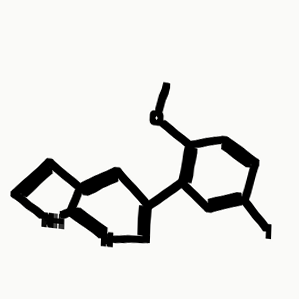 COc1ccc(I)cc1-c1cnc2[nH]ccc2c1